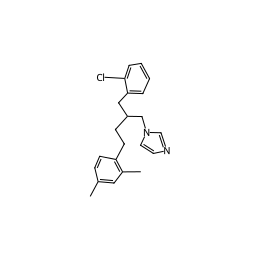 Cc1ccc(CCC(Cc2ccccc2Cl)Cn2ccnc2)c(C)c1